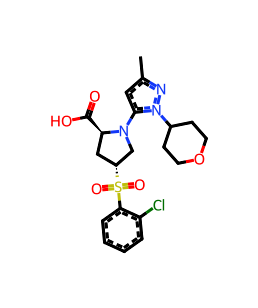 Cc1cc(N2C[C@H](S(=O)(=O)c3ccccc3Cl)C[C@H]2C(=O)O)n(C2CCOCC2)n1